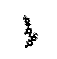 Cc1onc(-c2ccc(Cl)nn2)c1Cn1ncc(N2CC3(C2)CC(F)(F)CO3)cc1=O